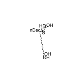 CCCCCCCCCCC(CCCCCCCCCCCCCC(O)CO)C(=O)OCC(O)CO